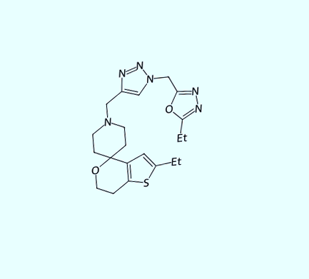 CCc1nnc(Cn2cc(CN3CCC4(CC3)OCCc3sc(CC)cc34)nn2)o1